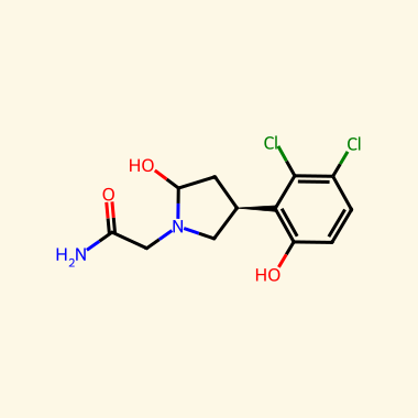 NC(=O)CN1C[C@H](c2c(O)ccc(Cl)c2Cl)CC1O